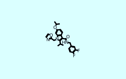 CC(C)Oc1ccc2c(C(=O)NCc3ccc(F)c(F)c3)c(C(C)C)n(Cc3ncco3)c2c1